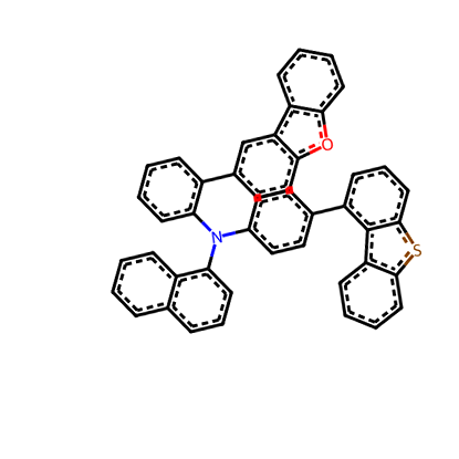 c1ccc(N(c2ccc(-c3cccc4sc5ccccc5c34)cc2)c2cccc3ccccc23)c(-c2ccc3oc4ccccc4c3c2)c1